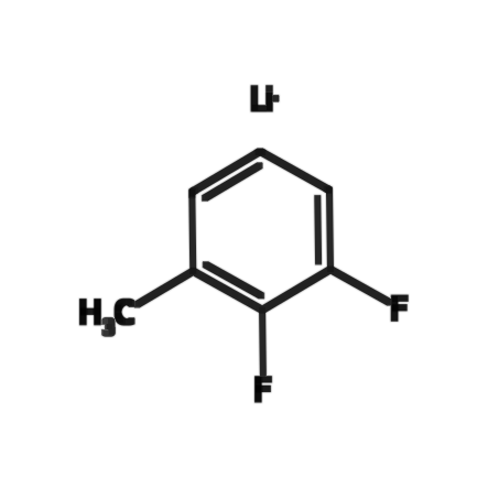 Cc1cccc(F)c1F.[Li]